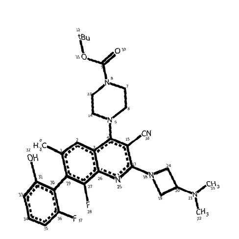 Cc1cc2c(N3CCN(C(=O)OC(C)(C)C)CC3)c(C#N)c(N3CC(N(C)C)C3)nc2c(F)c1-c1c(O)cccc1F